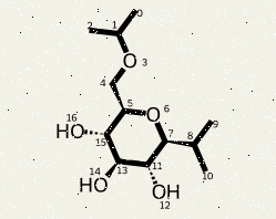 CC(C)OC[C@H]1O[C@@H](C(C)C)[C@H](O)[C@@H](O)[C@@H]1O